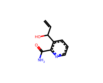 C=CC(O)c1cccnc1C(N)=O